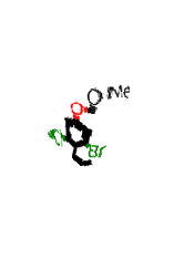 C/C=C\c1c(Cl)cc(OCOC)cc1Br